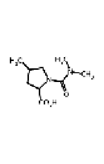 CC1CC(C(=O)O)N(C(=O)N(C)C)C1